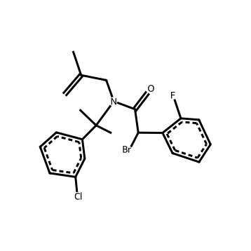 C=C(C)CN(C(=O)C(Br)c1ccccc1F)C(C)(C)c1cccc(Cl)c1